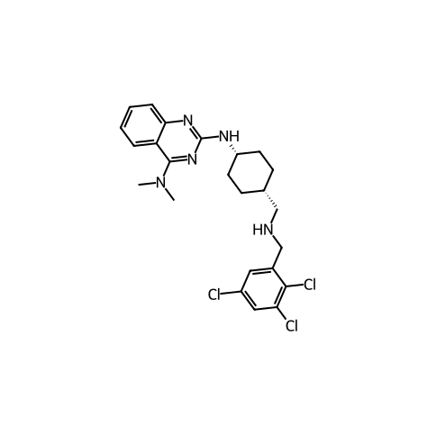 CN(C)c1nc(N[C@H]2CC[C@@H](CNCc3cc(Cl)cc(Cl)c3Cl)CC2)nc2ccccc12